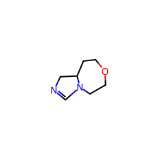 C1=NCC2CCOCCN12